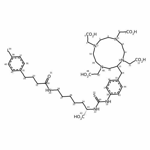 O=C(O)CN1CCN(CC(=O)O)CCN(CC(=O)O)C(Cc2ccc(NC(=S)N[C@@H](CCCCCNC(=O)CCCc3ccc(I)cc3)C(=O)O)cc2)CN(CC(=O)O)CC1